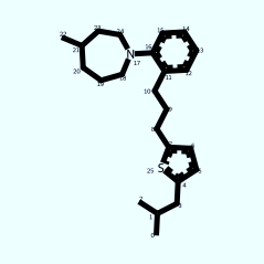 CC(C)Cc1ccc(CCCc2ccccc2N2CCCC(C)CC2)s1